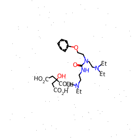 CCN(CC)CCNC(=O)N(CCOc1ccccc1)CCN(CC)CC.O=C(O)CC(O)(CC(=O)O)C(=O)O